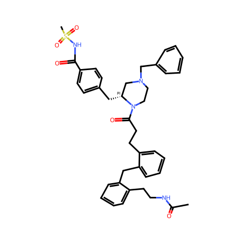 CC(=O)NCCc1ccccc1Cc1ccccc1CCC(=O)N1CCN(Cc2ccccc2)C[C@H]1Cc1ccc(C(=O)NS(C)(=O)=O)cc1